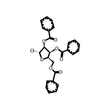 O=C(OC[C@H]1O[C@H](Cl)[C@@H](OC(=O)c2ccccc2)[C@H]1OC(=O)c1ccccc1)c1ccccc1